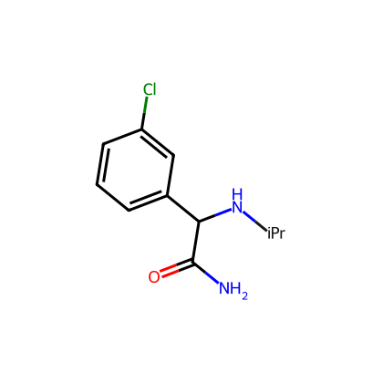 CC(C)NC(C(N)=O)c1cccc(Cl)c1